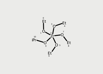 CC[O][Zr]([O]CC)([O]CC)([O]CC)[O]C(C)C